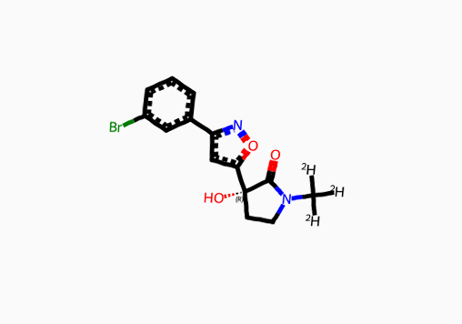 [2H]C([2H])([2H])N1CC[C@@](O)(c2cc(-c3cccc(Br)c3)no2)C1=O